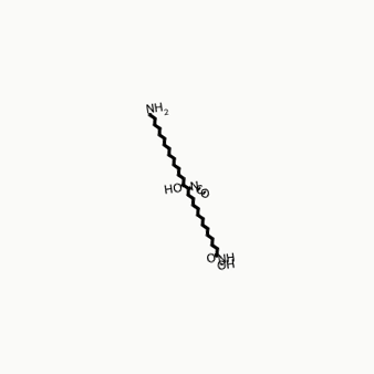 NCCCCCCCCCCCCCCC(O)C(CCCCCCCCCCCCC(=O)NO)N=C=O